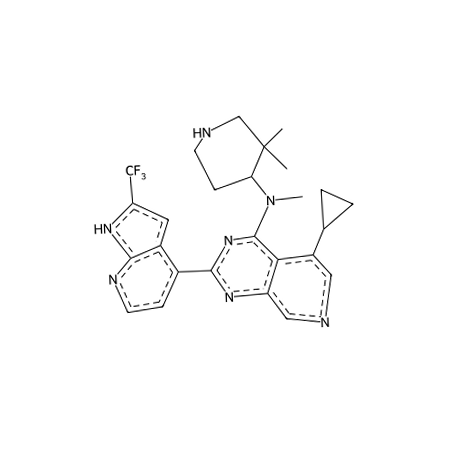 CN(c1nc(-c2ccnc3[nH]c(C(F)(F)F)cc23)nc2cncc(C3CC3)c12)C1CCNCC1(C)C